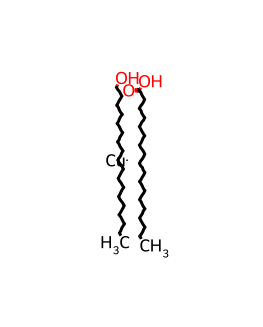 CCCCCCCCCCCCCCCCCC(=O)O.CCCCCCCCCCCCCCCCCCO.[Cu]